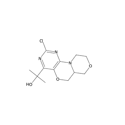 CC(C)(O)c1nc(Cl)nc2c1OCC1COCCN21